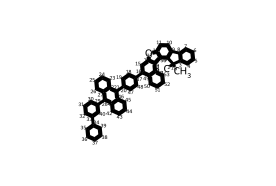 CC1(C)c2ccccc2-c2ccc3oc4cc(-c5ccc(-c6c7ccccc7c(-c7cccc(-c8ccccc8)c7)c7ccccc67)cc5)c5ccccc5c4c3c21